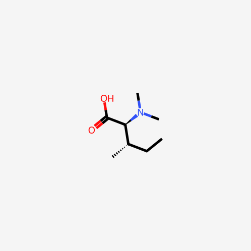 CC[C@H](C)[C@@H](C(=O)O)N(C)C